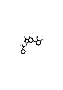 Cc1cccc(-c2cnc3c(C)cn(CC(=O)N4CCCC4)c3c2)c1F